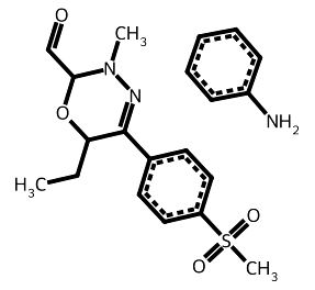 CCC1OC(C=O)N(C)N=C1c1ccc(S(C)(=O)=O)cc1.Nc1ccccc1